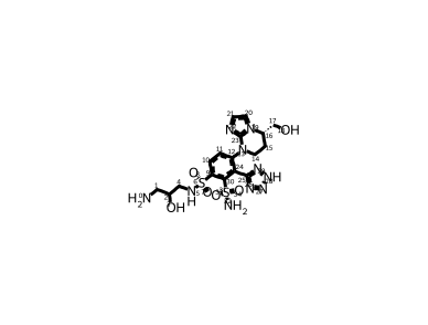 NCC(O)CNS(=O)(=O)c1ccc(N2CC[C@@H](CO)n3ccnc32)c(-c2nn[nH]n2)c1S(N)(=O)=O